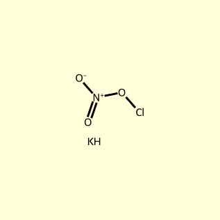 O=[N+]([O-])OCl.[KH]